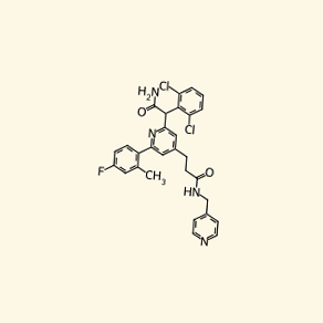 Cc1cc(F)ccc1-c1cc(CCC(=O)NCc2ccncc2)cc(C(C(N)=O)c2c(Cl)cccc2Cl)n1